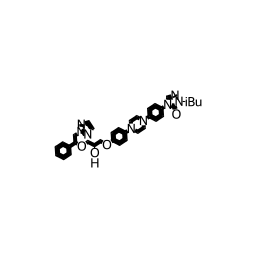 CC[C@@H](C)n1ncn(-c2ccc(N3CCN(c4ccc(OC[C@H](O)COC(Cn5nccn5)c5ccccc5)cc4)CC3)cc2)c1=O